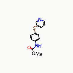 COC(=O)Nc1ccc(Sc2cccnc2)cc1